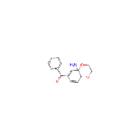 NC12C=C(C(=O)c3ccccc3)C=CC1OCCO2